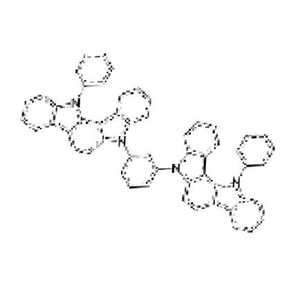 c1ccc(-n2c3ccccc3c3ccc4c(c5ccccc5n4-c4cccc(-n5c6ccccc6c6c5ccc5c7ccccc7n(-c7ccccc7)c56)c4)c32)cc1